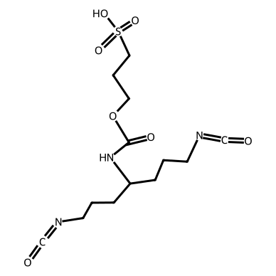 O=C=NCCCC(CCCN=C=O)NC(=O)OCCCS(=O)(=O)O